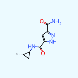 C[C@H]1C[C@@H]1NC(=O)c1cc(C(N)=O)n[nH]1